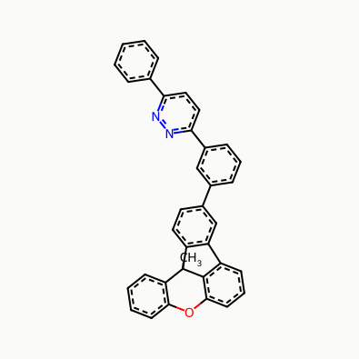 CC12c3ccccc3Oc3cccc(c31)-c1cc(-c3cccc(-c4ccc(-c5ccccc5)nn4)c3)ccc12